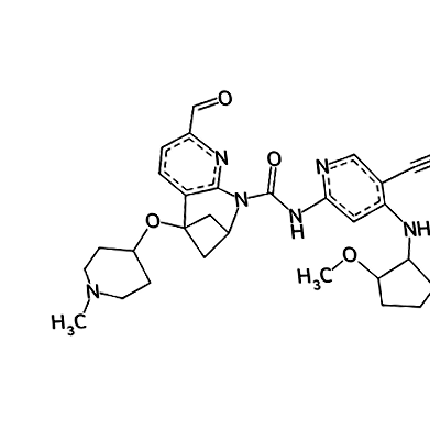 COC1CCCC1Nc1cc(NC(=O)N2c3nc(C=O)ccc3C3(OC4CCN(C)CC4)CC2C3)ncc1C#N